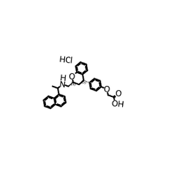 CC(NC[C@@H]1C[C@@H](c2ccc(OCC(=O)O)cc2)c2ccccc2O1)c1cccc2ccccc12.Cl